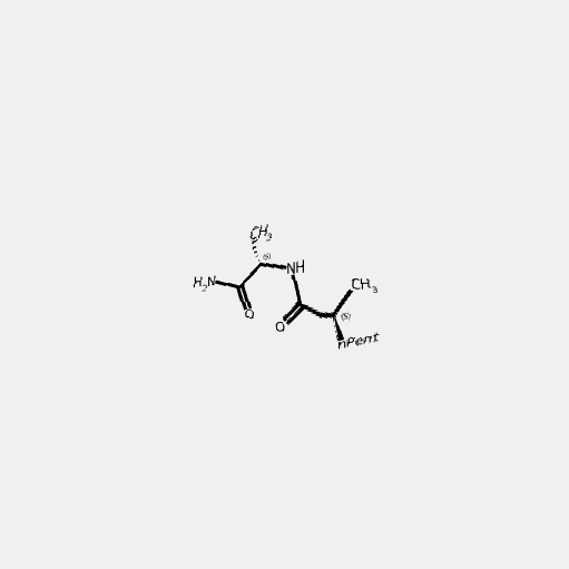 CCCCC[C@H](C)C(=O)N[C@@H](C)C(N)=O